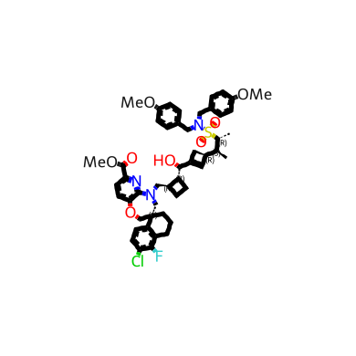 COC(=O)c1ccc2c(n1)N(C[C@@H]1CC[C@H]1C(O)C1=C[C@H]([C@H](C)[C@@H](C)S(=O)(=O)N(Cc3ccc(OC)cc3)Cc3ccc(OC)cc3)C1)C[C@@]1(CCCc3c1ccc(Cl)c3F)CO2